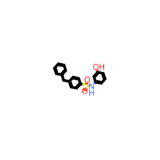 O=S(=O)(Nc1cccc(O)c1)c1ccc(Cc2ccccc2)cc1